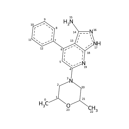 CC1CN(c2cc(-c3ccccc3)c3c(N)n[nH]c3n2)CC(C)O1